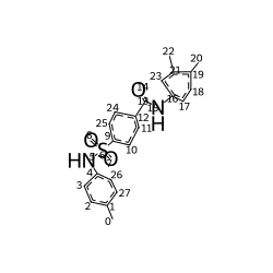 Cc1ccc(NS(=O)(=O)c2ccc(C(=O)Nc3ccc(C)c(C)c3)cc2)cc1